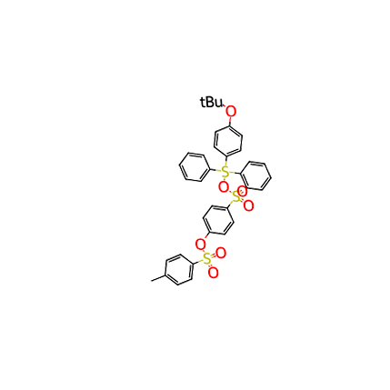 Cc1ccc(S(=O)(=O)Oc2ccc(S(=O)(=O)OS(c3ccccc3)(c3ccccc3)c3ccc(OC(C)(C)C)cc3)cc2)cc1